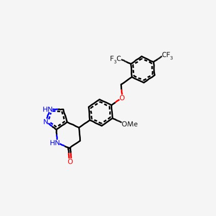 COc1cc(C2CC(=O)Nc3n[nH]cc32)ccc1OCc1ccc(C(F)(F)F)cc1C(F)(F)F